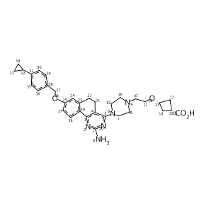 Nc1nc2c(c(N3CCN(CCO[C@H]4C[C@@H](C(=O)O)C4)CC3)n1)CCc1cc(OCc3ccc(C4CC4)cc3)ccc1-2